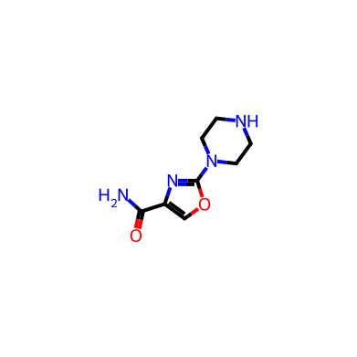 NC(=O)c1coc(N2CCNCC2)n1